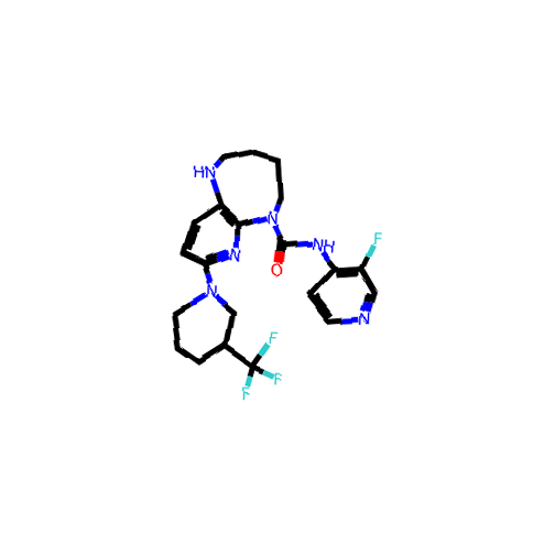 O=C(Nc1ccncc1F)N1CCCCNc2ccc(N3CCCC(C(F)(F)F)C3)nc21